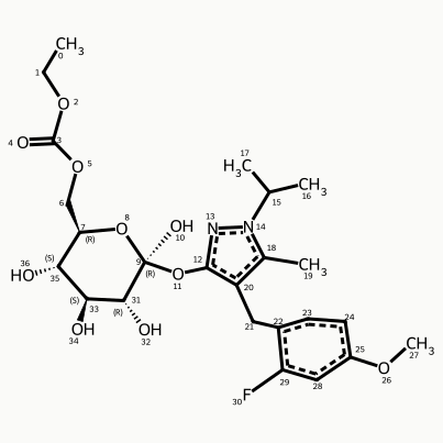 CCOC(=O)OC[C@H]1O[C@@](O)(Oc2nn(C(C)C)c(C)c2Cc2ccc(OC)cc2F)[C@H](O)[C@@H](O)[C@@H]1O